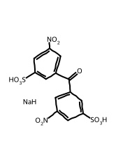 O=C(c1cc([N+](=O)[O-])cc(S(=O)(=O)O)c1)c1cc([N+](=O)[O-])cc(S(=O)(=O)O)c1.[NaH]